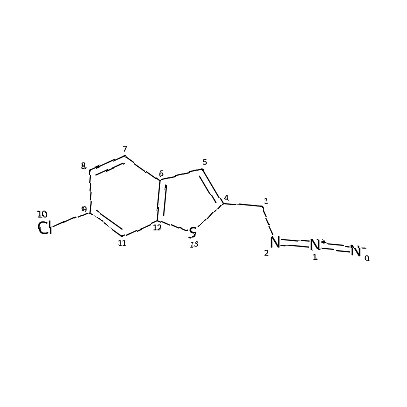 [N-]=[N+]=NCc1cc2ccc(Cl)cc2s1